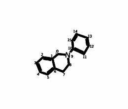 [C]1c2ccccc2CCN1c1ccccc1